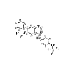 FC(F)(F)Oc1ccc(Nc2ncnc3cc(-c4ncccc4C(F)(F)F)ccc23)cc1